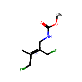 C/C(CF)=C(/CBr)CNC(=O)OC(C)(C)C